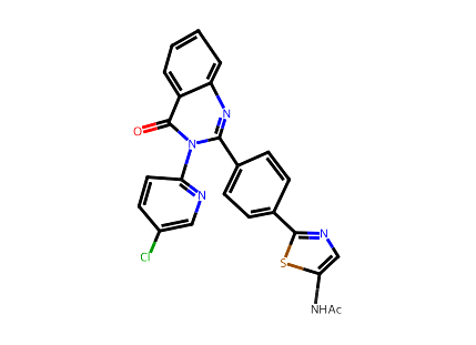 CC(=O)Nc1cnc(-c2ccc(-c3nc4ccccc4c(=O)n3-c3ccc(Cl)cn3)cc2)s1